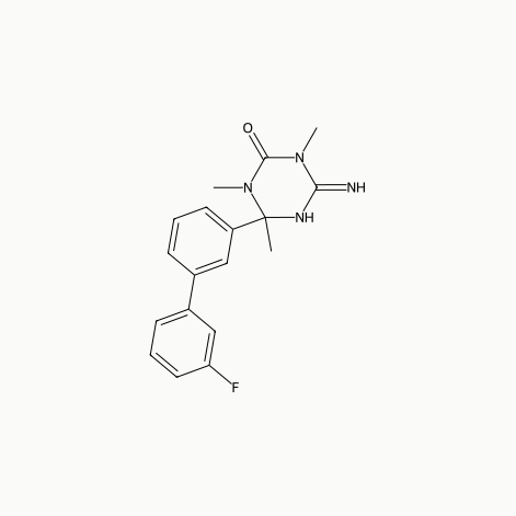 CN1C(=N)NC(C)(c2cccc(-c3cccc(F)c3)c2)N(C)C1=O